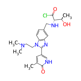 Cc1cc(-c2nc3cc(CN[C@H](C(=O)Cl)[C@@H](C)O)ccc3n2CCN(C)C)c[nH]c1=O